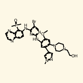 COc1cc(N2CCN(CCO)CC2)c(-c2cnn(C)c2)cc1Nc1ncc(Br)c(Nc2ccc3nccnc3c2P(C)(C)=O)n1